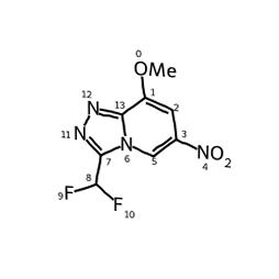 COc1cc([N+](=O)[O-])cn2c(C(F)F)nnc12